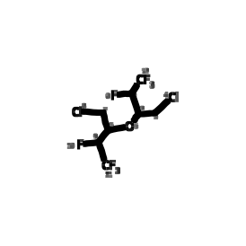 FC(C(CCl)OC(CCl)C(F)C(F)(F)F)C(F)(F)F